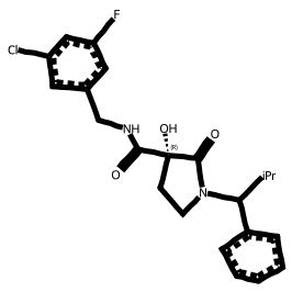 CC(C)C(c1ccccc1)N1CC[C@@](O)(C(=O)NCc2cc(F)cc(Cl)c2)C1=O